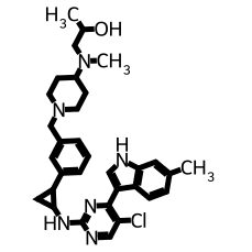 Cc1ccc2c(-c3nc(NC4CC4c4cccc(CN5CCC(N(C)CC(C)O)CC5)c4)ncc3Cl)c[nH]c2c1